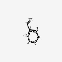 S=Cc1[c]cccn1